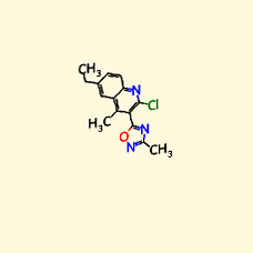 CCc1ccc2nc(Cl)c(-c3nc(C)no3)c(C)c2c1